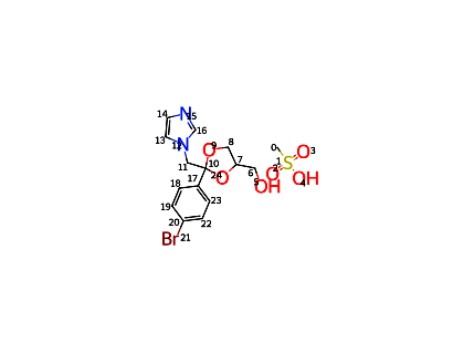 CS(=O)(=O)O.OCC1COC(Cn2ccnc2)(c2ccc(Br)cc2)O1